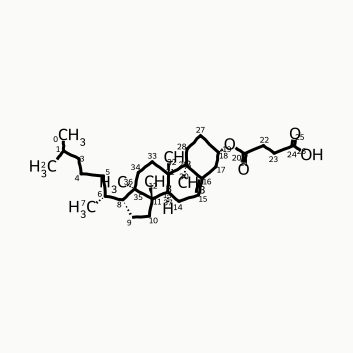 CC(C)CCC[C@@H](C)[C@H]1CC[C@@]2(C)[C@@H]3CC=C4C[C@@H](OC(=O)CCC(=O)O)CC[C@]4(C)[C@@]3(C)CC[C@]12C